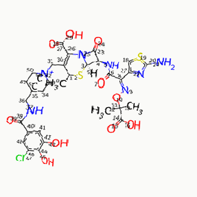 C[C@@H]1S[C@@H]2[C@H](NC(=O)/C(=N\OC(C)(C)C(=O)O)c3csc(N)n3)C(=O)N2C(C(=O)O)=C1C[N+]12CCC(CNC(=O)c3cc(O)c(O)c(Cl)c3)(CC1)CC2